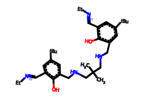 CC/N=C/c1cc(C(C)(C)C)cc(CNCC(C)(C)CNCc2cc(C(C)(C)C)cc(/C=N/CC)c2O)c1O